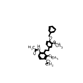 COc1cc(CCc2c(NC(C)=O)ccc(OC)c2OC)ccc1OCc1ccccc1